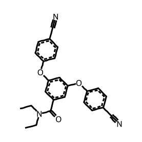 CCN(CC)C(=O)c1cc(Oc2ccc(C#N)cc2)cc(Oc2ccc(C#N)cc2)c1